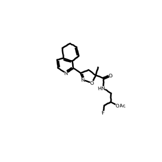 CC(=O)OC(CF)CNC(=O)C1(C)CC(c2nccc3c2C=CCC3)=NO1